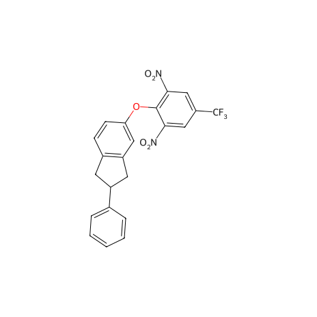 O=[N+]([O-])c1cc(C(F)(F)F)cc([N+](=O)[O-])c1Oc1ccc2c(c1)CC(c1ccccc1)C2